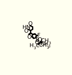 CC1(C)OB(c2cc3occ(C4CCC(=O)NC4=O)c3cc2F)OC1(C)C